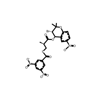 C[C@H](CSC(=O)c1cc([N+](=O)[O-])cc([N+](=O)[O-])c1)C(=O)O[C@@H]1c2cc([N+](=O)[O-])ccc2OC(C)(C)[C@H]1Br